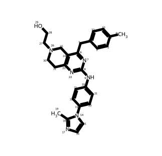 Cc1ccc(Cc2nc(Nc3ccc(-n4ccnc4C)cc3)nc3c2CN(CCO)CC3)cc1